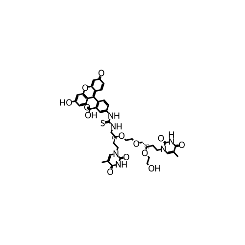 Cc1cn(CC[C@@H](CNC(=S)Nc2ccc(-c3c4ccc(=O)cc-4oc4cc(O)ccc34)c(C(=O)O)c2)OCCOC[C@H](CCn2cc(C)c(=O)[nH]c2=O)OCCO)c(=O)[nH]c1=O